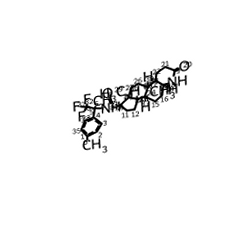 Cc1ccc(C(C)(NC(=O)[C@H]2CC[C@H]3[C@@H]4CC[C@H]5NC(=O)CC[C@]5(C)[C@H]4CC[C@]23C)C(F)(F)F)cc1